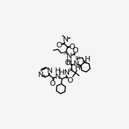 CCC[C@H](NC(=O)[C@@H]1C[C@@H]2CCCC[C@@H]2N1C(=O)[C@@H](NC(=O)C(NC(=O)c1cnccn1)C1CCCCC1)C(C)(C)C)C(=O)C(=O)N(C)C